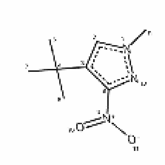 Cn1cc(C(C)(C)C)c([N+](=O)[O-])n1